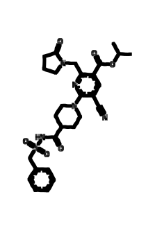 CC(C)OC(=O)c1cc(C#N)c(N2CCC(C(=O)NS(=O)(=O)Cc3ccccc3)CC2)nc1CN1CCCC1=O